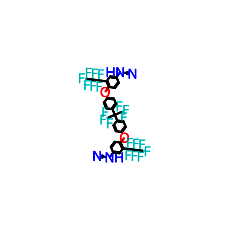 N#CNc1ccc(Oc2ccc(C(c3ccc(Oc4ccc(NC#N)cc4C(F)(F)C(F)(F)C(F)(F)F)cc3)(C(F)(F)F)C(F)(F)F)cc2)c(C(F)(F)C(F)(F)C(F)(F)F)c1